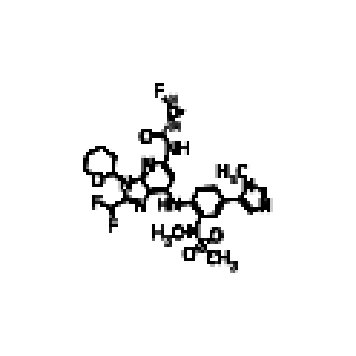 CN(c1cc(-c2cncn2C)ccc1Nc1cc(NC(=O)[C@H]2C[C@@H]2F)nc2c1nc(C(F)F)n2C1CCCCO1)S(C)(=O)=O